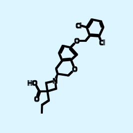 CCCC1(C(=O)O)CN([C@@H]2COc3cc(OCc4c(Cl)cccc4Cl)ccc3C2)C1